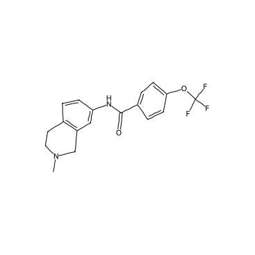 CN1CCc2ccc(NC(=O)c3ccc(OC(F)(F)F)cc3)cc2C1